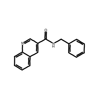 O=C(NCc1ccccc1)c1cnc2ccccc2c1